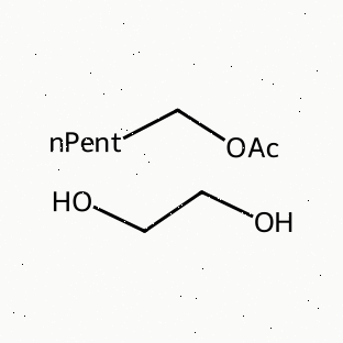 CCCCCCOC(C)=O.OCCO